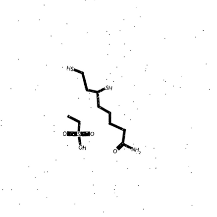 CCS(=O)(=O)O.NC(=O)CCCCC(S)CCS